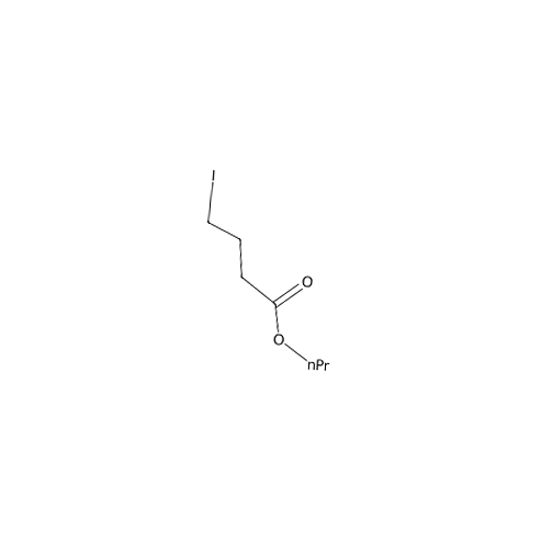 CCCOC(=O)CCCI